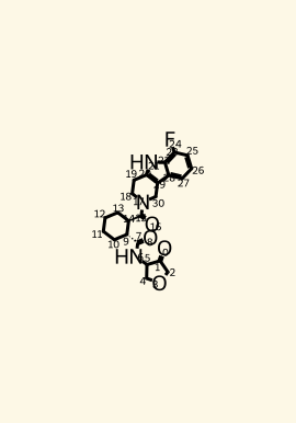 O=C1COCC1NC(=O)[C@@H]1CCCC[C@H]1C(=O)N1CCc2[nH]c3c(F)cccc3c2C1